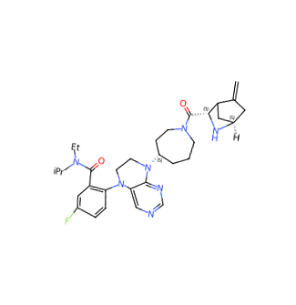 C=C1C[C@@H]2CC1[C@@H](C(=O)N1CCC[C@H](N3CCN(c4ccc(F)cc4C(=O)N(CC)C(C)C)c4cncnc43)CC1)N2